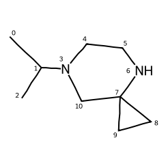 CC(C)N1CCNC2(CC2)C1